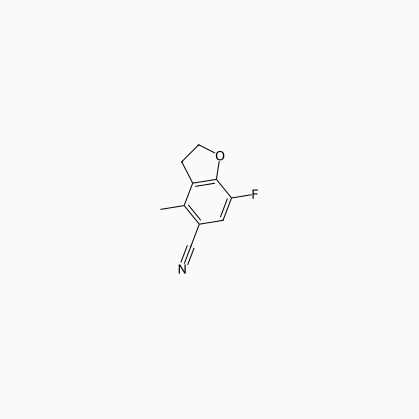 Cc1c(C#N)cc(F)c2c1CCO2